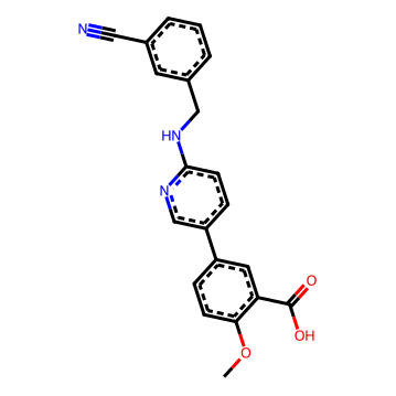 COc1ccc(-c2ccc(NCc3cccc(C#N)c3)nc2)cc1C(=O)O